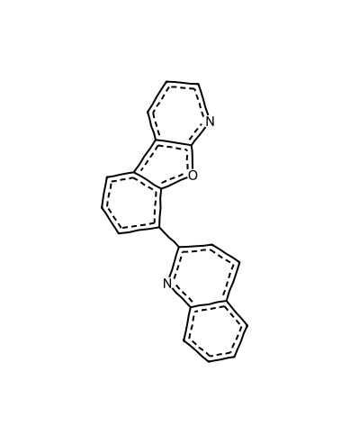 c1ccc2nc(-c3cccc4c3oc3ncccc34)ccc2c1